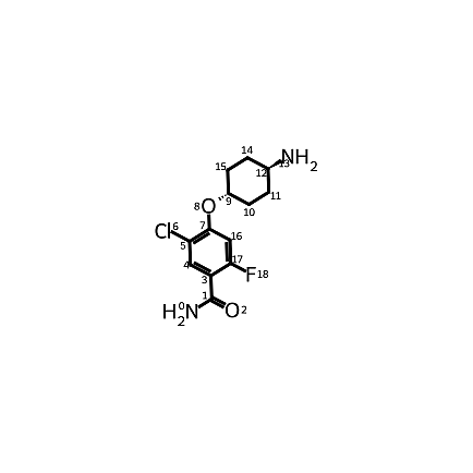 NC(=O)c1cc(Cl)c(O[C@H]2CC[C@H](N)CC2)cc1F